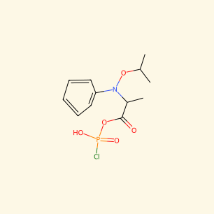 CC(C)ON(c1ccccc1)C(C)C(=O)OP(=O)(O)Cl